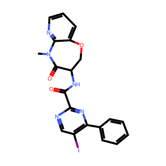 CN1C(=O)C(NC(=O)c2ncc(I)c(-c3ccccc3)n2)COc2cccnc21